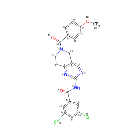 O=C(Nc1ncc2c(n1)CCN(C(=O)c1ccc(OC(F)(F)F)cc1)C2)c1cc(Cl)cc(Cl)c1